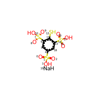 O=S(=O)(O)c1cc(S(=O)(=O)O)c(S)c(S(=O)(=O)O)c1.[NaH]